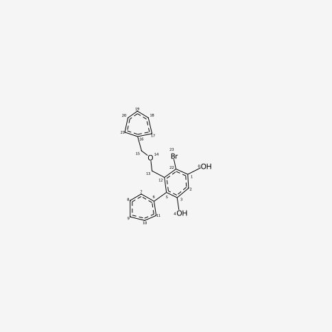 Oc1cc(O)c(-c2ccccc2)c(COCc2ccccc2)c1Br